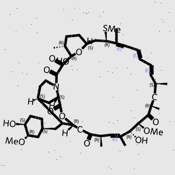 CO[C@@H]1C(=O)[C@H](C)C[C@H](C)/C=C/C=C/C=C(\C)[C@H](SC)C[C@@H]2CC[C@@H](C)[C@@](O)(O2)C(=O)C(=O)N2CC[C@H]3C[C@H]2C(=O)O[C@H](CC(=O)[C@H](C)/C=C(\C)[C@H]1O)C3C[C@@H]1CC[C@H](O)[C@H](OC)C1